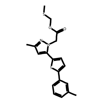 CSCOC(=O)Cn1nc(C)cc1-c1ccc(-c2cccc(C)c2)s1